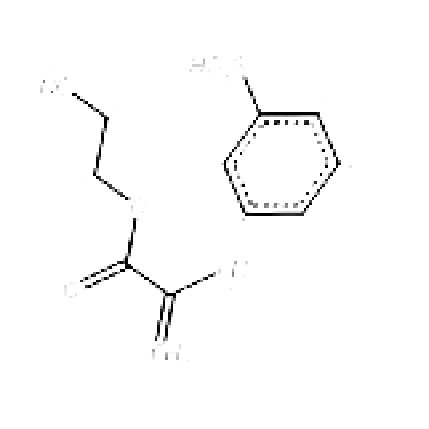 C=C(C)C(=O)OCCC#N.O=S(=O)(O)c1ccccc1